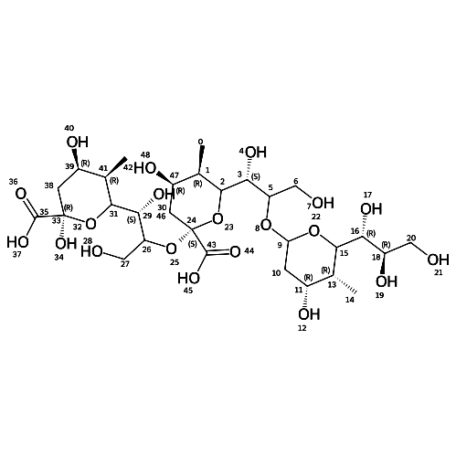 C[C@H]1C([C@H](O)C(CO)OC2C[C@@H](O)[C@@H](C)C([C@H](O)[C@H](O)CO)O2)O[C@@](OC(CO)[C@@H](O)C2O[C@@](O)(C(=O)O)C[C@@H](O)[C@H]2C)(C(=O)O)C[C@H]1O